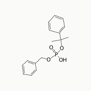 CC(C)(OP(=O)(O)OCc1ccccc1)c1ccccc1